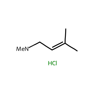 CNCC=C(C)C.Cl